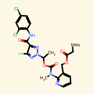 CNCC(=O)OCc1cccnc1N(C)C(=O)OC(C)n1nc(F)c(C(=O)Nc2ccc(Cl)cc2Cl)n1